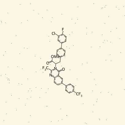 COC(=O)C(Cc1ccc(-c2ccc(F)c(Cl)c2)cc1)n1c(C(F)(F)F)nc2ccc(-c3ccc(C(F)(F)F)cc3)cc2c1=O